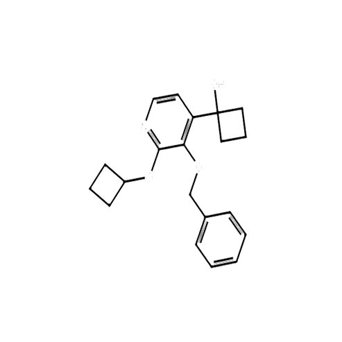 OC1(c2ccnc(OC3CCC3)c2OCc2ccccc2)CCC1